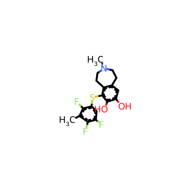 Cc1c(F)c(F)cc(Sc2c(O)c(O)cc3c2CCN(C)CC3)c1F